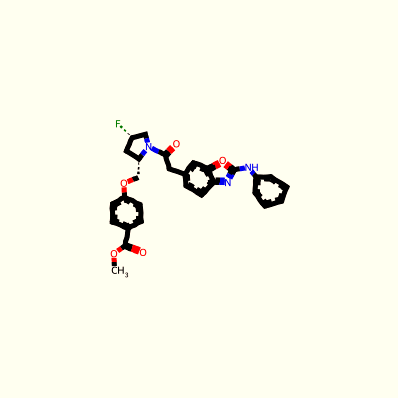 COC(=O)c1ccc(OC[C@@H]2C[C@H](F)CN2C(=O)Cc2ccc3nc(Nc4ccccc4)oc3c2)cc1